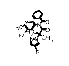 CC(C)(C(=O)N(C(=O)c1ccccc1)c1cnc(C#N)c(C(F)(F)F)c1)n1cc(F)cn1